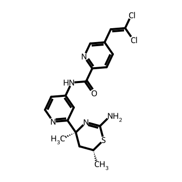 C[C@@H]1C[C@@](C)(c2cc(NC(=O)c3ccc(C=C(Cl)Cl)cn3)ccn2)N=C(N)S1